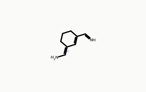 N=CC1=C/C(=C/N)CCC1